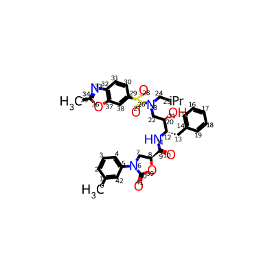 Cc1cccc(N2C[C@@H](C(=O)N[C@@H](Cc3ccccc3)[C@H](O)CN(CC(C)C)S(=O)(=O)c3ccc4nc(C)oc4c3)OC2=O)c1